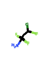 NC(F)(F)C(F)Cl